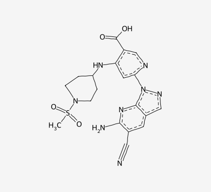 CS(=O)(=O)N1CCC(Nc2cc(-n3ncc4cc(C#N)c(N)nc43)ncc2C(=O)O)CC1